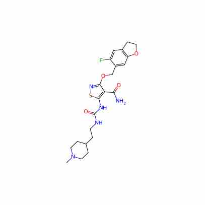 CN1CCC(CCNC(=O)Nc2snc(OCc3cc4c(cc3F)CCO4)c2C(N)=O)CC1